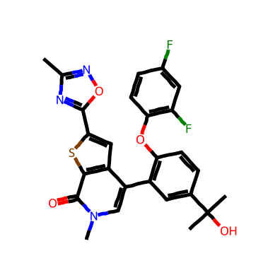 Cc1noc(-c2cc3c(-c4cc(C(C)(C)O)ccc4Oc4ccc(F)cc4F)cn(C)c(=O)c3s2)n1